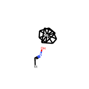 CCC=NO.[CH]12[CH]3[CH]4[CH]5[CH]1[Fe]23451678[CH]2[CH]1[CH]6[CH]7[CH]28